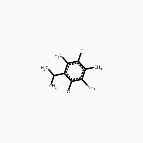 Cc1c(N)c(Cl)c(C(C)C)c(C)c1F